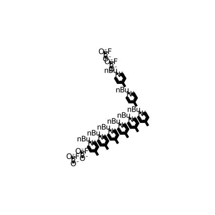 CCCC[n+]1ccc(C)cc1.CCCC[n+]1ccc(C)cc1.CCCC[n+]1ccc(C)cc1.CCCC[n+]1ccc(C)cc1.CCCC[n+]1ccc(C)cc1.CCCC[n+]1ccc(C)cc1.CCCC[n+]1ccc(C)cc1.CCCC[n+]1ccc(C)cc1.[O-]B([O-])F.[O-]B([O-])F.[O-]B([O-])F.[O-]B([O-])F